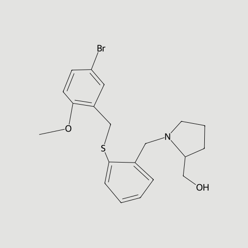 COc1ccc(Br)cc1CSc1ccccc1CN1CCCC1CO